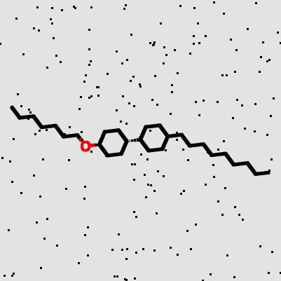 CCCCCCCCCC1CCC([C@H]2CC[C@H](OCCCCCCC)CC2)CC1